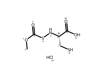 COC(=O)SN[C@@H](CS)C(=O)O.Cl